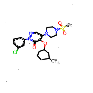 CC(C)S(=O)(=O)N1CCN(c2cnn(-c3cccc(Cl)c3)c(=O)c2OC2CCCC(C(F)(F)F)C2)CC1